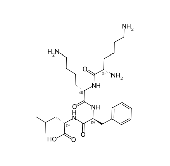 CC(C)C[C@H](NC(=O)[C@H](Cc1ccccc1)NC(=O)[C@H](CCCCN)NC(=O)[C@@H](N)CCCCN)C(=O)O